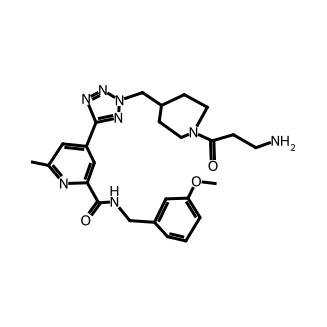 COc1cccc(CNC(=O)c2cc(-c3nnn(CC4CCN(C(=O)CCN)CC4)n3)cc(C)n2)c1